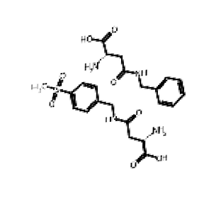 CS(=O)(=O)c1ccc(CNC(=O)C[C@H](N)C(=O)O)cc1.N[C@@H](CC(=O)NCc1ccccc1)C(=O)O